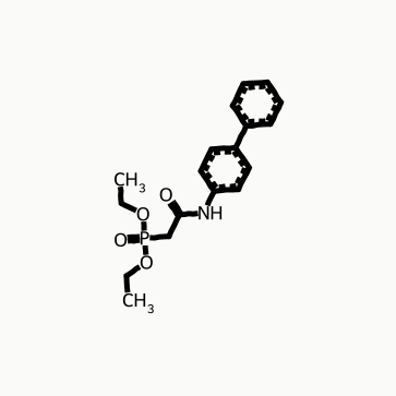 CCOP(=O)(CC(=O)Nc1ccc(-c2ccccc2)cc1)OCC